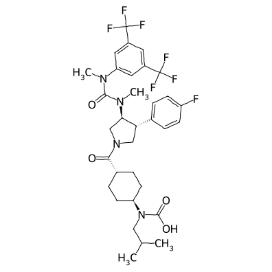 CC(C)CN(C(=O)O)[C@H]1CC[C@H](C(=O)N2C[C@@H](N(C)C(=O)N(C)c3cc(C(F)(F)F)cc(C(F)(F)F)c3)[C@H](c3ccc(F)cc3)C2)CC1